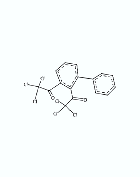 O=C(c1cccc(-c2ccccc2)c1C(=O)C(Cl)(Cl)Cl)C(Cl)(Cl)Cl